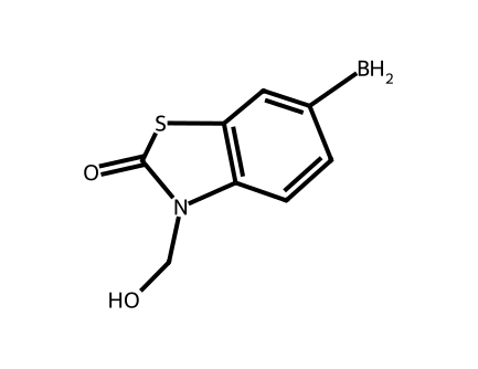 Bc1ccc2c(c1)sc(=O)n2CO